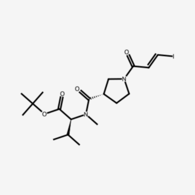 CC(C)[C@@H](C(=O)OC(C)(C)C)N(C)C(=O)[C@H]1CCN(C(=O)/C=C/I)C1